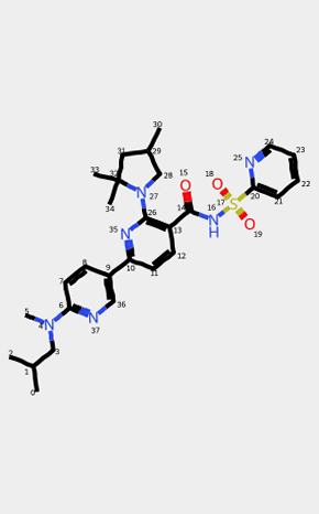 CC(C)CN(C)c1ccc(-c2ccc(C(=O)NS(=O)(=O)c3ccccn3)c(N3CC(C)CC3(C)C)n2)cn1